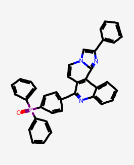 O=P(c1ccccc1)(c1ccccc1)c1ccc(-c2nc3ccccc3c3c2ccn2cc(-c4ccccc4)nc32)cc1